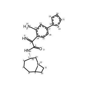 N=C(C(=O)N[C@H]1CCCC2CCN2C1)c1ccc(-c2cccs2)cc1N